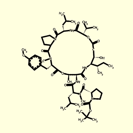 CC[C@H](C)[C@H]1NC(=O)[C@@H](NC(=O)[C@@H](CC(C)C)N(C)C(=O)[C@@H]2CCCN2C(=O)OC(C)(C)C)[C@@H](C)OC(=O)[C@H](Cc2ccc(OC)cc2)N(C)C(=O)C2CCCN2C(=O)[C@H](CC(C)C)NC(=O)[C@H](C(C)C)OC(=O)C[C@@H]1O